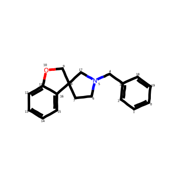 c1ccc(CN2CCC3(COc4ccccc43)C2)cc1